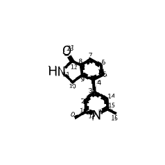 Cc1cc(-c2cccc3c2CNC3=O)cc(C)n1